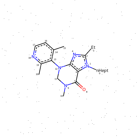 CCCCCCCn1c(CC)nc2c1C(=O)N(C)CN2c1c(C)ccnc1C